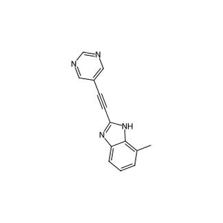 Cc1cccc2nc(C#Cc3cncnc3)[nH]c12